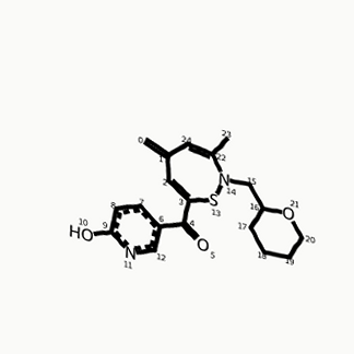 C=C1C=C(C(=O)c2ccc(O)nc2)SN(CC2CCCCO2)C(C)=C1